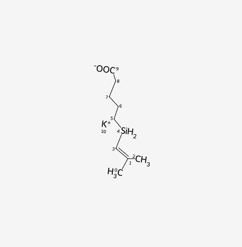 CC(C)=C[SiH2]CCCCC(=O)[O-].[K+]